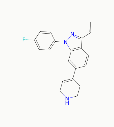 C=Cc1nn(-c2ccc(F)cc2)c2cc(C3=CCNCC3)ccc12